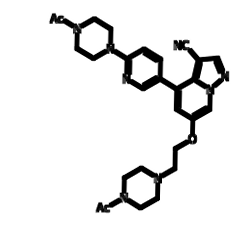 CC(=O)N1CCN(CCOc2cc(-c3ccc(N4CCN(C(C)=O)CC4)nc3)c3c(C#N)cnn3c2)CC1